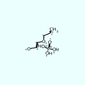 C=CCOC=C[O].O=P(O)(O)O